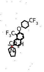 C[C@@H](c1ccc2ccc(O[C@H]3CC[C@@H](C(F)(F)F)CC3)c(C(F)(F)F)c2c1)N1C2CCC1CC(C(=O)O)C2